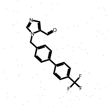 O=Cc1cncn1Cc1ccc(-c2ccc(C(F)(F)F)cc2)cc1